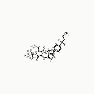 CCCC(F)(F)c1ccc(-c2noc(CC(C(=O)OC(C)(C)C)P(=O)(OCC)OCC)n2)cc1